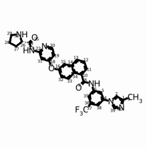 Cc1cn(-c2cc(NC(=O)c3cccc4cc(Oc5ccnc(NC(=O)[C@@H]6CCCN6)c5)ccc34)cc(C(F)(F)F)c2)cn1